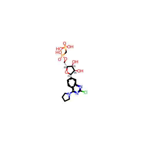 O=P(O)(O)CP(=O)(O)OC[C@H]1O[C@@H](c2ccc3c(N4CCCC4)nc(Cl)nc3c2)[C@H](O)[C@@H]1O